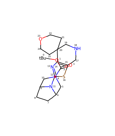 CC(C)(C)OC(=O)N1CC2CCC(C1)N2c1nc2c(s1)CNCC21CCOCC1